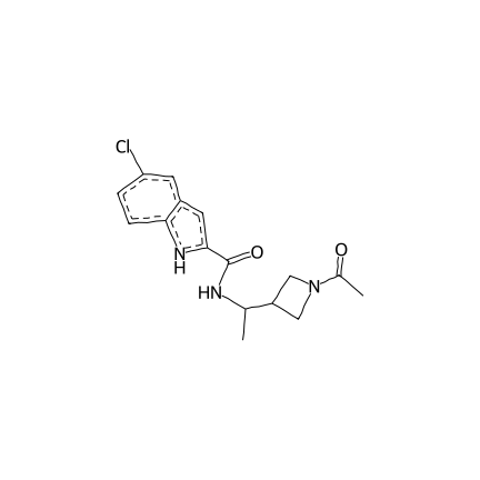 CC(=O)N1CC(C(C)NC(=O)c2cc3cc(Cl)ccc3[nH]2)C1